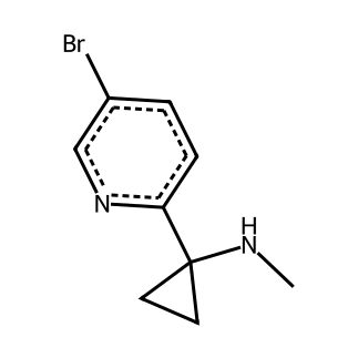 CNC1(c2ccc(Br)cn2)CC1